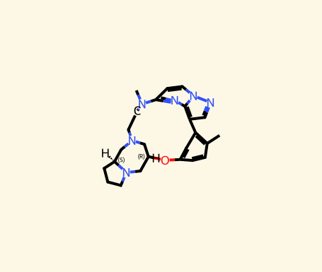 Cc1ccc2cc1-c1cnn3ccc(nc13)N(C)CCN1C[C@H](CN3CCC[C@H]3C1)O2